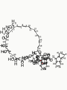 C[C@@H]1[C@H](O)[C@@H](C)/C=C/C=C/C=C/C=C/C=C/C=C/C=C/[C@H](O[C@@H]2O[C@H](C)[C@@H](O)[C@H](NC(=O)OCC3c4ccccc4-c4ccccc43)[C@@H]2O)C[C@@H]2O[C@](O)(C[C@@H](O)C[C@@H](O)[C@H](O)CC[C@@H](O)C[C@@H](O)CC(=O)O[C@H]1C)C[C@H](O)[C@H]2C(=O)NC(=NO)c1ccncc1